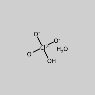 O.[O-][Cl+3]([O-])([O-])O